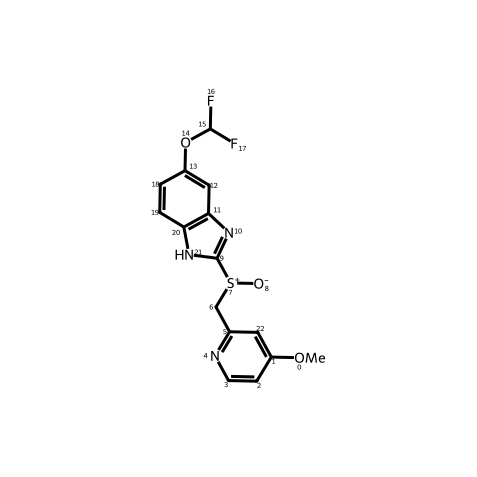 COc1ccnc(C[S+]([O-])c2nc3cc(OC(F)F)ccc3[nH]2)c1